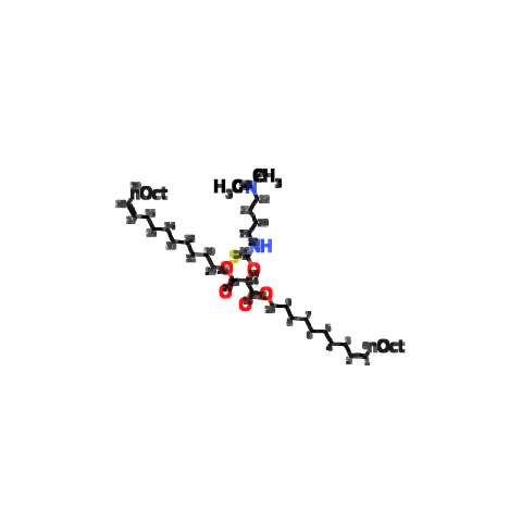 CCCCCCCC/C=C\CCCCCCCCOC(=O)C(OC(=S)NCCCCN(C)C)C(=O)OCCCCCCCC/C=C\CCCCCCCC